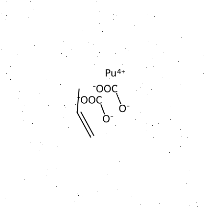 C=CC.O=C([O-])[O-].O=C([O-])[O-].[Pu+4]